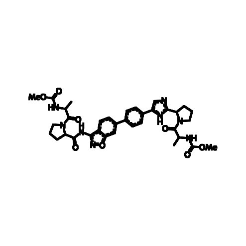 COC(=O)NC(C)C(=O)N1CCCC1C(=O)Nc1noc2cc(-c3ccc(-c4cnc(C5CCCN5C(=O)C(C)NC(=O)OC)[nH]4)cc3)ccc12